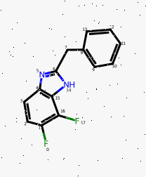 Fc1ccc2nc(Cc3ccccc3)[nH]c2c1F